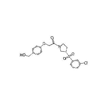 O=C(COc1ccc(CO)cc1)N1CCC(S(=O)(=O)c2cccc(Cl)c2)C1